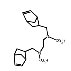 O=C(O)N(CCN(CC1CC2C=CC1C2)C(=O)O)CC1CC2C=CC1C2